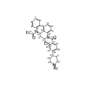 CCC(=O)N(c1ccccc1)C1CC(C)N(C(=O)c2ccc(C3CCN(C(C)=O)CC3)cc2)c2ccccc21